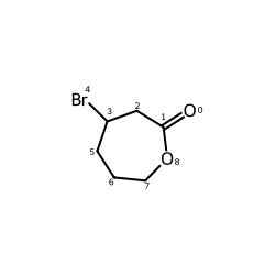 O=C1CC(Br)CCCO1